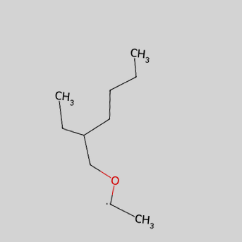 C[CH]OCC(CC)CCCC